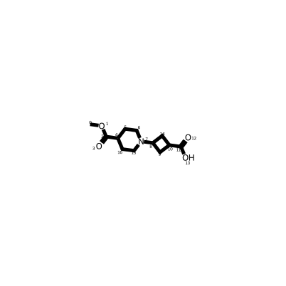 COC(=O)C1CCN(C2CC(C(=O)O)C2)CC1